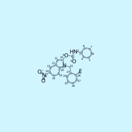 O=C(Nc1ccccc1)Oc1cc2cc([N+](=O)[O-])ccc2n1Cc1ccccc1F